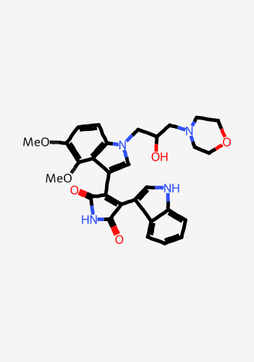 COc1ccc2c(c(C3=C(c4c[nH]c5ccccc45)C(=O)NC3=O)cn2CC(O)CN2CCOCC2)c1OC